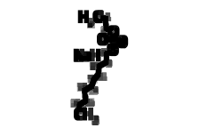 C=CCOS(=O)(=O)OCCCCCCCCCC.[NaH]